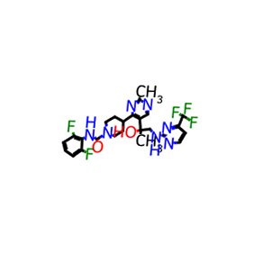 Cc1ncc(C(C)(O)CNc2nccc(C(F)(F)F)n2)c(C2CCN(C(=O)Nc3c(F)cccc3F)CC2)n1